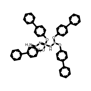 NP(N)N=P(NP(Oc1ccc(-c2ccccc2)cc1)Oc1ccc(-c2ccccc2)cc1)(Oc1ccc(-c2ccccc2)cc1)Oc1ccc(-c2ccccc2)cc1